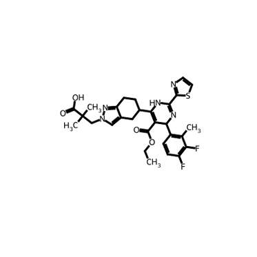 CCOC(=O)C1=C(C2CCc3nn(CC(C)(C)C(=O)O)cc3C2)NC(c2nccs2)=NC1c1ccc(F)c(F)c1C